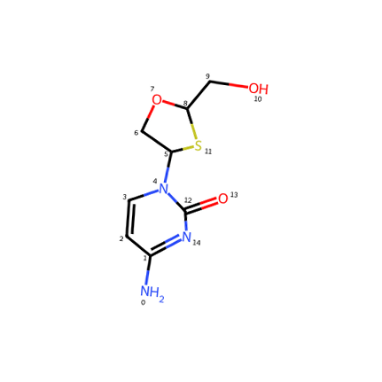 Nc1ccn(C2COC(CO)S2)c(=O)n1